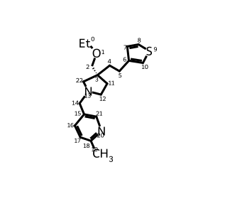 CCOC[C@]1(CCc2ccsc2)CCN(Cc2ccc(C)nc2)C1